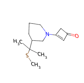 CSC(C)(C)C1CCCN(C2=CC(=O)C2)C1